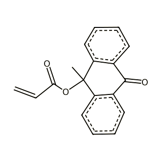 C=CC(=O)OC1(C)c2ccccc2C(=O)c2ccccc21